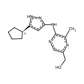 Cc1nc(CO)cnc1Nc1cc([C@H]2C[CH]CC2)[nH]n1